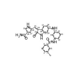 Cc1cccc(C(=O)Nc2cccc(Nc3ccc4c(c3)NC(=O)C4=Cc3cc(C(N)=O)c[nH]3)c2)c1